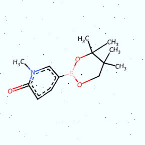 Cn1cc(B2OCC(C)(C)C(C)(C)O2)ccc1=O